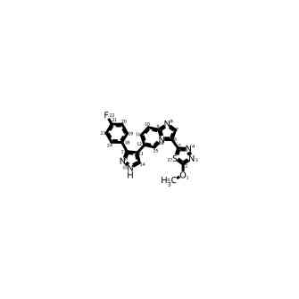 COc1nnc(-c2cnc3ccc(-c4c[nH]nc4-c4ccc(F)cc4)cn23)s1